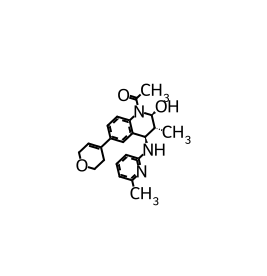 CC(=O)N1c2ccc(C3=CCOCC3)cc2[C@H](Nc2cccc(C)n2)[C@@H](C)[C@@H]1O